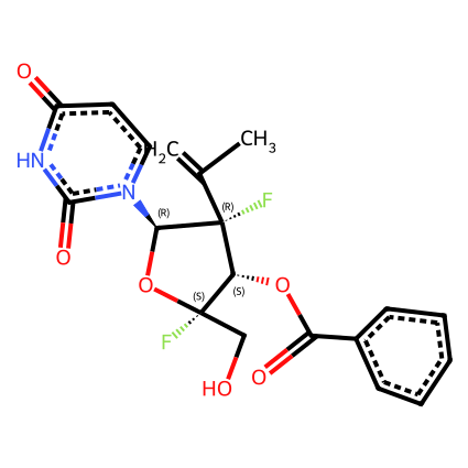 C=C(C)[C@]1(F)[C@H](n2ccc(=O)[nH]c2=O)O[C@](F)(CO)[C@H]1OC(=O)c1ccccc1